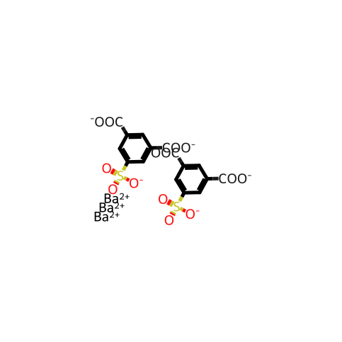 O=C([O-])c1cc(C(=O)[O-])cc(S(=O)(=O)[O-])c1.O=C([O-])c1cc(C(=O)[O-])cc(S(=O)(=O)[O-])c1.[Ba+2].[Ba+2].[Ba+2]